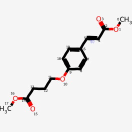 COC(=O)/C=C/c1ccc(OCCCC(=O)OC)cc1